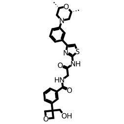 C[C@@H]1CN(c2cccc(-c3csc(NC(=O)CNC(=O)c4cccc(C5(CO)COC5)c4)n3)c2)C[C@H](C)O1